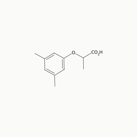 Cc1cc(C)cc(OC(C)C(=O)O)c1